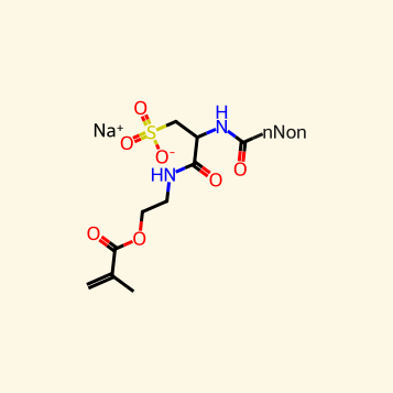 C=C(C)C(=O)OCCNC(=O)C(CS(=O)(=O)[O-])NC(=O)CCCCCCCCC.[Na+]